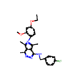 CCOc1ccc(-n2c(C)c3c(C)nnc(NCc4ccc(Cl)cc4)c3c2C)c(OC)c1